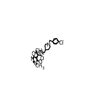 Cc1oc2ncn(C)c(=O)c2c1C(=O)NCC1CCN(Cc2ccc(Cl)cc2)CC1